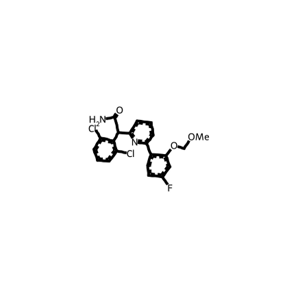 COCOc1cc(F)ccc1-c1cccc(C(C(N)=O)c2c(Cl)cccc2Cl)n1